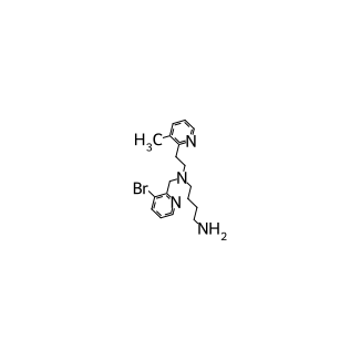 Cc1cccnc1CCN(CCCCN)Cc1ncccc1Br